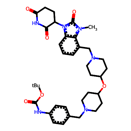 Cn1c(=O)n(C2CCC(=O)NC2=O)c2cccc(CN3CCC(OC4CCN(Cc5ccc(NC(=O)OC(C)(C)C)cc5)CC4)CC3)c21